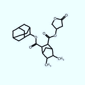 CC1C(C)C2CC1C(C(=O)OC1COC(=O)C1)C2C(=O)OC1C2CC3CC(C2)CC1C3